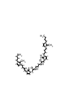 CCCCn1cc[n+](CCCCn2cc[n+](CC(=O)NCCCNC(=O)C[n+]3ccn(CCCC[n+]4ccn(CCCN)c4C)c3C)c2C)c1C